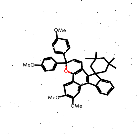 COc1ccc(C2(c3ccc(OC)cc3)C=Cc3c4c(c5cc(OC)c(OC)cc5c3O2)-c2ccccc2C42CC(C)(C)CC(C)(C)C2)cc1